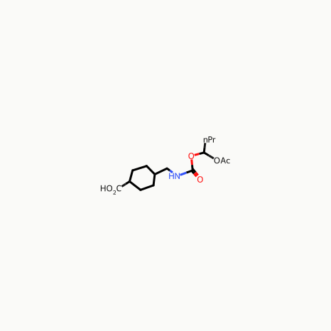 CCCC(OC(C)=O)OC(=O)NCC1CCC(C(=O)O)CC1